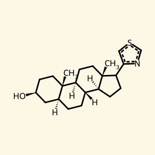 C[C@]12CC[C@H](O)C[C@@H]1CC[C@@H]1[C@@H]2CC[C@]2(C)C(c3cscn3)CC[C@@H]12